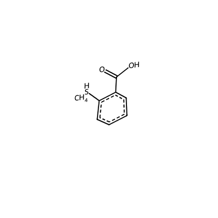 C.O=C(O)c1ccccc1S